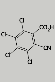 N#Cc1c(Cl)c(Cl)c(Cl)c(Cl)c1C(=O)O